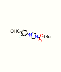 CC(C)(C)OC(=O)N1CCN(c2ccc(C=O)c(F)c2)CC1